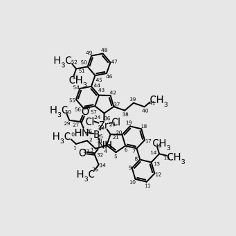 CCCCC1=Cc2c(-c3ccccc3C(C)C)cccc2[CH]1[Zr]([Cl])([Cl])([B](NC(=O)CC)NC(=O)CC)[CH]1C(CCCC)=Cc2c(-c3ccccc3C(C)C)cccc21